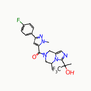 CC1CN(C(=O)c2cc(-c3ccc(F)cc3)nn2C)Cc2cnc(C(C)(O)C(F)(F)F)n21